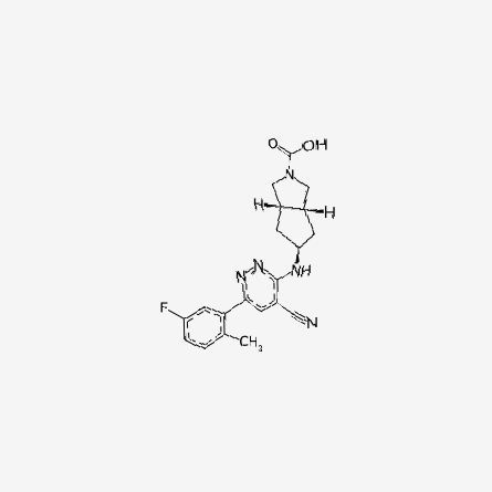 Cc1ccc(F)cc1-c1cc(C#N)c(N[C@H]2C[C@@H]3CN(C(=O)O)C[C@@H]3C2)nn1